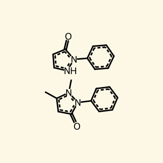 Cc1cc(=O)n(-c2ccccc2)n1C.O=c1cc[nH]n1-c1ccccc1